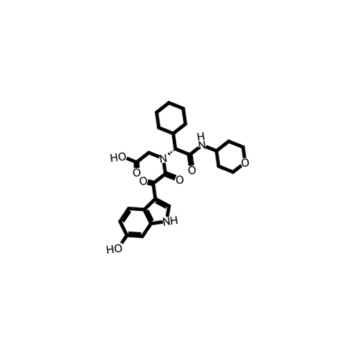 O=C(O)CN(C(=O)C(=O)c1c[nH]c2cc(O)ccc12)[C@@H](C(=O)NC1CCOCC1)C1CCCCC1